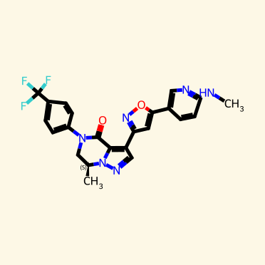 CNc1ccc(-c2cc(-c3cnn4c3C(=O)N(c3ccc(C(F)(F)F)cc3)C[C@@H]4C)no2)cn1